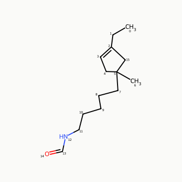 CCC1=CCC(C)(CCCCCNC=O)C1